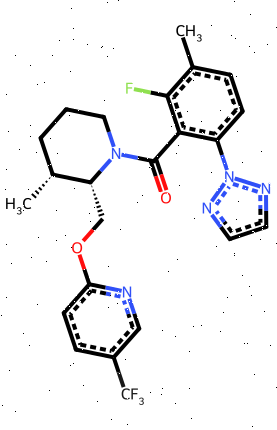 Cc1ccc(-n2nccn2)c(C(=O)N2CCC[C@@H](C)[C@H]2COc2ccc(C(F)(F)F)cn2)c1F